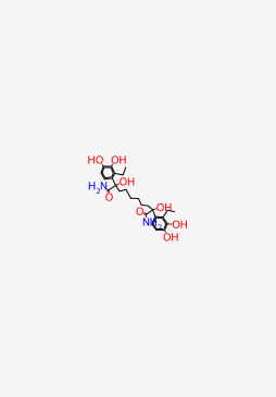 CCc1c(C(O)(CCCCCCC(O)(C(N)=O)c2ccc(O)c(O)c2CC)C(N)=O)ccc(O)c1O